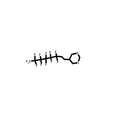 FC(F)(F)C(F)(F)C(F)(F)C(F)(F)C(F)(F)C(F)(F)CCC1CSCSC1